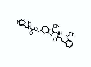 CCOc1ccccc1CCC(=O)Nc1sc2c(c1C#N)CCC(COC(=O)NCc1cncs1)C2